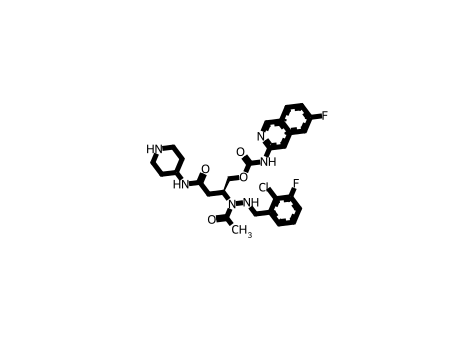 CC(=O)N(NCc1cccc(F)c1Cl)[C@H](COC(=O)Nc1cc2cc(F)ccc2cn1)CC(=O)NC1CCNCC1